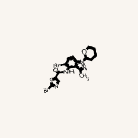 Cc1nn(C2CCCCO2)c2ccc(Br)c(NC(=O)c3cnc(Br)s3)c12